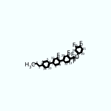 CCCc1ccc(-c2ccc(-c3ccc(C(F)(F)Oc4ccc(F)c(F)c4)c(F)c3)c(F)c2)cc1